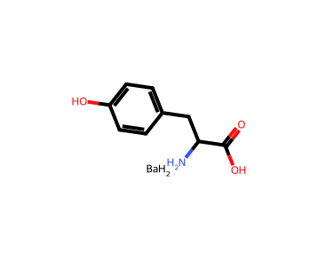 NC(Cc1ccc(O)cc1)C(=O)O.[BaH2]